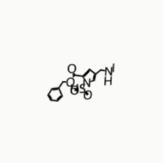 O=C(OCc1ccccc1)c1cc(CNI)cn1[SH](=O)=O